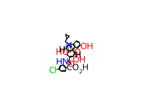 O=C(Nc1cc(Cl)ccc1C(=O)O)C1=C(O)[C@@H]2Oc3c(O)ccc4c3[C@@]23CCN(CC2CC2)[C@H](C4)[C@]3(O)C1